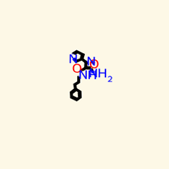 Nc1onc(-c2cccnc2)c1C(=O)NCCCc1ccccc1